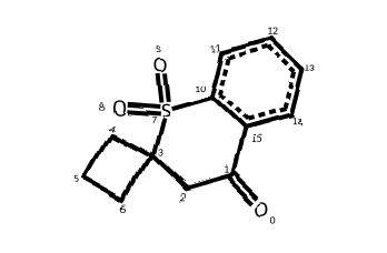 O=C1CC2(CCC2)S(=O)(=O)c2ccccc21